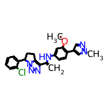 C=C(Nc1ccc(-c2cnn(C)c2)c(OC)c1)c1nnn2c1CCC2c1ccccc1Cl